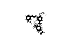 COc1ccc(C(=O)NC2(C(=O)O)CCC3(CC2)OCCO3)cc1OCCc1cccc(C)c1